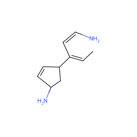 C/C=C(\C=C/N)C1C=CC(N)C1